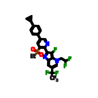 CCS(=O)(=O)c1cc(-c2ccc(C3CC3)cc2)cnc1-c1nc2cc(C(F)(F)C(F)(F)F)cn(CC(F)F)c-2c1F